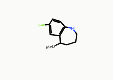 COC1CCCNc2ccc(F)cc21